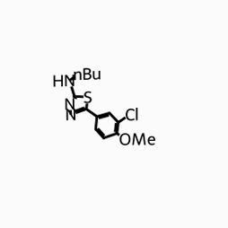 CCCCNc1nnc(-c2ccc(OC)c(Cl)c2)s1